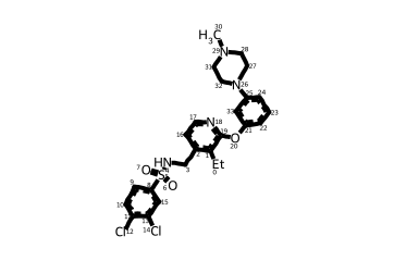 CCc1c(CNS(=O)(=O)c2ccc(Cl)c(Cl)c2)ccnc1Oc1cccc(N2CCN(C)CC2)c1